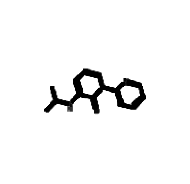 CC(C)Nc1cccn(-c2ccccn2)c1=O